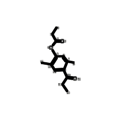 CCC(=O)Oc1cc(C)c(C(=O)CC)cc1C